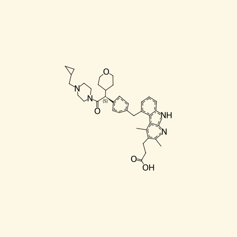 Cc1nc2[nH]c3cccc(Cc4ccc([C@@H](C(=O)N5CCN(CC6CC6)CC5)C5CCOCC5)cc4)c3c2c(C)c1CCC(=O)O